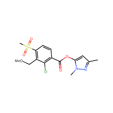 COCc1c(S(C)(=O)=O)ccc(C(=O)Oc2cc(C)nn2C)c1Cl